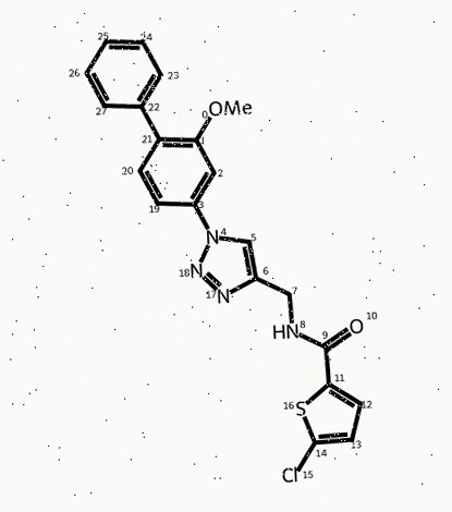 COc1cc(-n2cc(CNC(=O)c3ccc(Cl)s3)nn2)ccc1-c1ccccc1